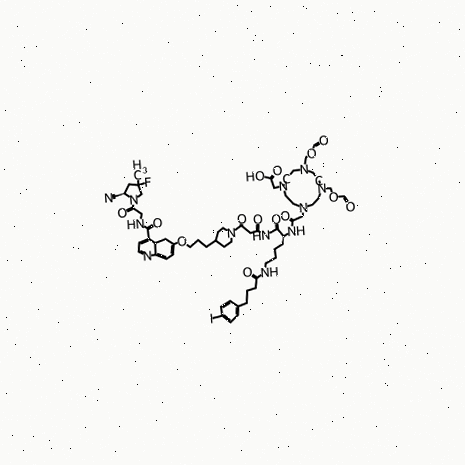 CC1(F)C[C@H](C#N)N(C(=O)CNC(=O)C2=CC=NC3=CC=C(OCCCC4CCN(C(=O)CC(=O)NC(=O)[C@H](CCCCNC(=O)CCCc5ccc(I)cc5)NC(=O)CN5CCN(COC=O)CCN(COC=O)CCN(CC(=O)O)CC5)CC4)CC32)C1